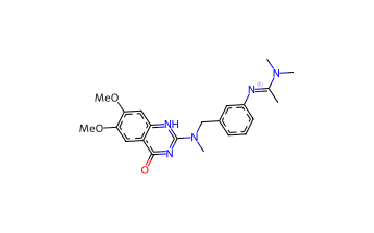 COc1cc2[nH]c(N(C)Cc3cccc(/N=C(\C)N(C)C)c3)nc(=O)c2cc1OC